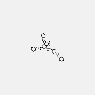 O=c1cc(-c2ccc(OCc3ccccc3)cc2)oc2cc(OCc3ccccc3)cc(OCc3ccccc3)c12